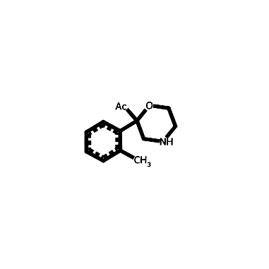 CC(=O)C1(c2ccccc2C)CNCCO1